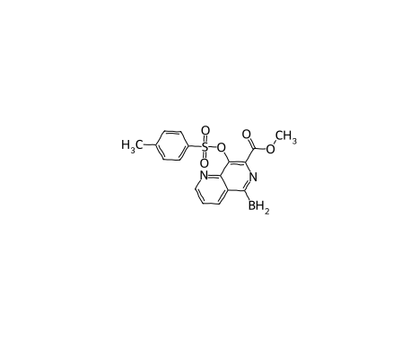 Bc1nc(C(=O)OC)c(OS(=O)(=O)c2ccc(C)cc2)c2ncccc12